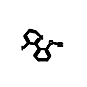 CCOc1ccccc1-c1ncccc1F